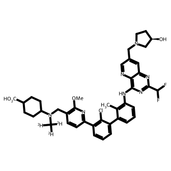 [2H]C([2H])([2H])N(Cc1ccc(-c2cccc(-c3cccc(Nc4nc(C(F)F)nc5cc(CN6CC[C@@H](O)C6)cnc45)c3C)c2Cl)nc1OC)C1CCC(C(=O)O)CC1